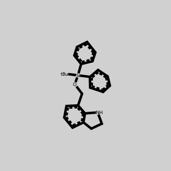 CC(C)(C)[Si](OCc1cccc2c1NCC2)(c1ccccc1)c1ccccc1